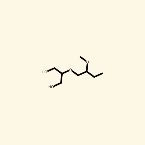 CCC(COC(CO)CO)OC